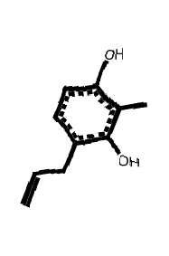 C=CCc1ccc(O)c(C)c1O